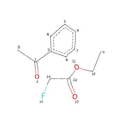 CC(=O)c1ccccc1.CCOC(=O)CF